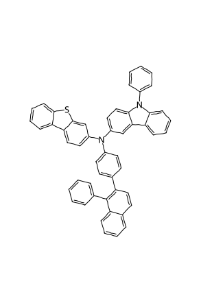 c1ccc(-c2c(-c3ccc(N(c4ccc5c(c4)sc4ccccc45)c4ccc5c(c4)c4ccccc4n5-c4ccccc4)cc3)ccc3ccccc23)cc1